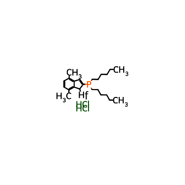 CCCCCCP(CCCCCC)C1=Cc2c(C)ccc(C)c2[CH]1[Hf].Cl.Cl